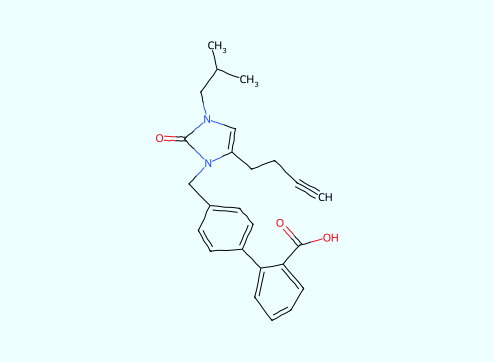 C#CCCc1cn(CC(C)C)c(=O)n1Cc1ccc(-c2ccccc2C(=O)O)cc1